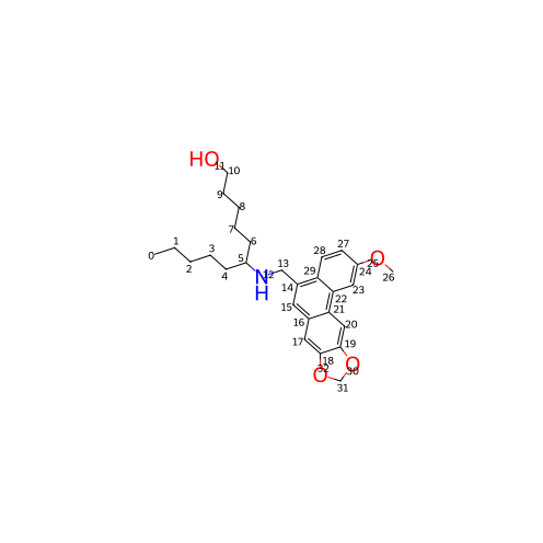 CCCCCC(CCCCCO)NCc1cc2cc3c(cc2c2cc(OC)ccc12)OCO3